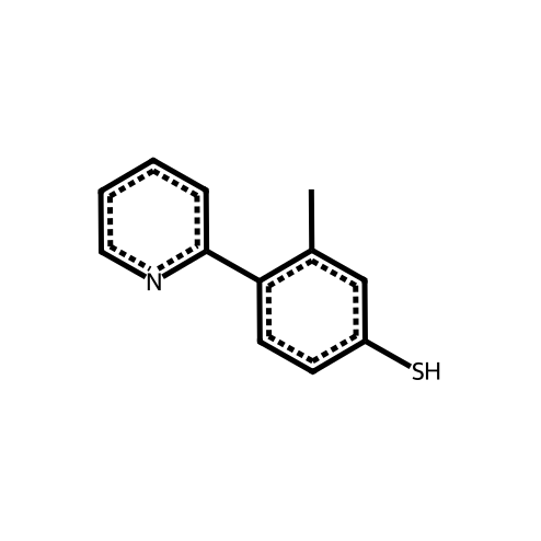 Cc1cc(S)ccc1-c1ccccn1